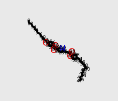 CCCCCCCCCCCCCOc1ccc(OC(=O)c2ccc(C#CC(=O)Oc3ccc(CCC/C=C/C(C)CCCCCCC)cc3)nc2)cc1